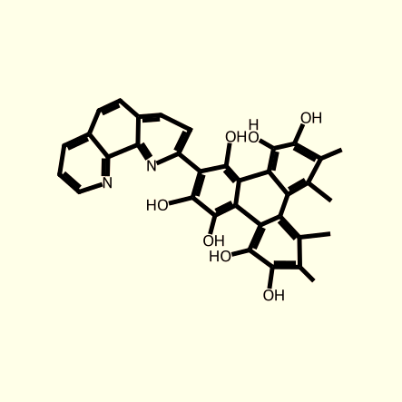 Cc1c(O)c(O)c2c(c1C)c1c(C)c(C)c(O)c(O)c1c1c(O)c(-c3ccc4ccc5cccnc5c4n3)c(O)c(O)c21